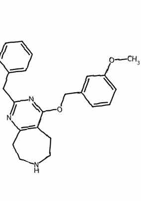 COc1cccc(COc2nc(Cc3ccccc3)nc3c2CCNCC3)c1